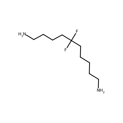 NCCCCCC(F)(F)CCCCN